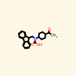 CC(=O)C1CCC(N(CC2c3ccccc3-c3ccccc32)C(=O)O)CC1